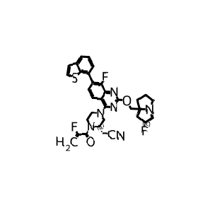 C=C(F)C(=O)N1CCN(c2nc(OCC34CCCN3C[C@H](F)C4)nc3c(F)c(-c4cccc5ccsc45)ccc23)C[C@@H]1CC#N